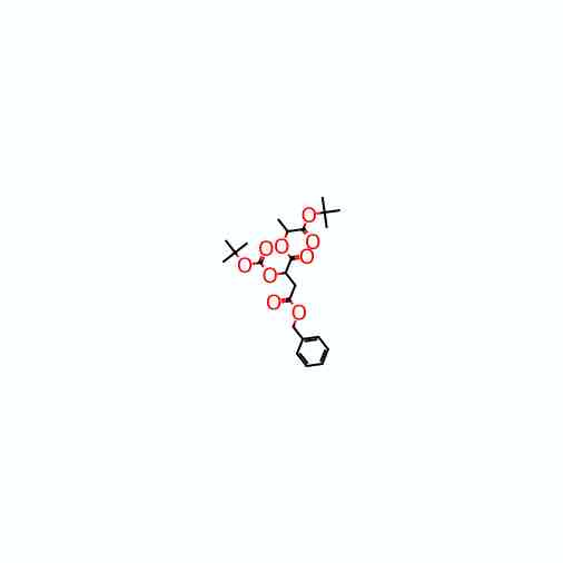 CC(OC(=O)C(CC(=O)OCc1ccccc1)OC(=O)OC(C)(C)C)C(=O)OC(C)(C)C